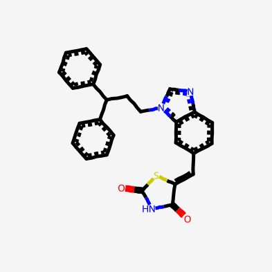 O=C1NC(=O)C(=Cc2ccc3ncn(CCC(c4ccccc4)c4ccccc4)c3c2)S1